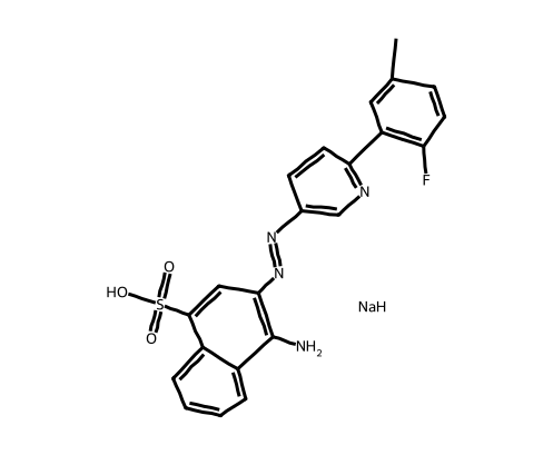 Cc1ccc(F)c(-c2ccc(N=Nc3cc(S(=O)(=O)O)c4ccccc4c3N)cn2)c1.[NaH]